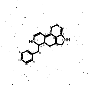 C1=CC2=C3CCC=C4NCC(=C43)CC2C(Cc2ccccc2)N1